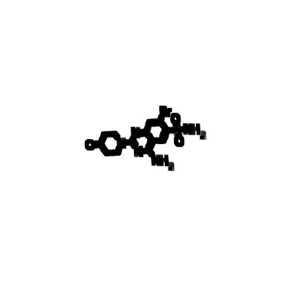 Nc1nc(N2CCC(=O)CC2)nc2cc(Br)c(S(N)(=O)=O)cc12